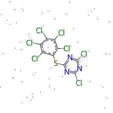 Clc1nc(Cl)nc(Sc2c(Cl)c(Cl)c(Cl)c(Cl)c2Cl)n1